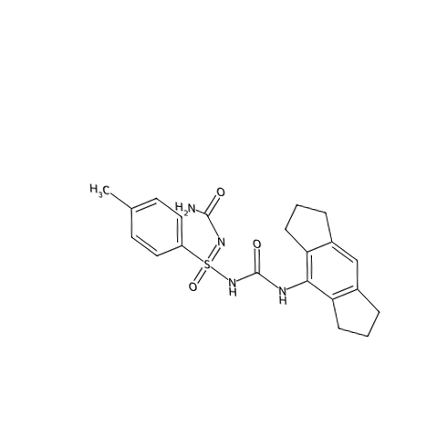 Cc1ccc(S(=O)(=NC(N)=O)NC(=O)Nc2c3c(cc4c2CCC4)CCC3)cc1